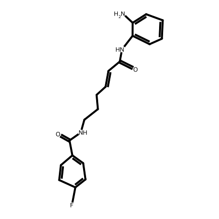 Nc1ccccc1NC(=O)C=CCCCNC(=O)c1ccc(F)cc1